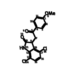 COc1ccc(C(=O)CC2C(=O)Nc3c(Cl)ccc(Cl)c32)cc1